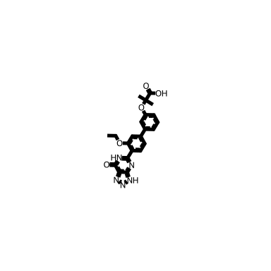 CCOc1cc(-c2cccc(OC(C)(C)C(=O)O)c2)ccc1-c1nc2[nH]nnc2c(=O)[nH]1